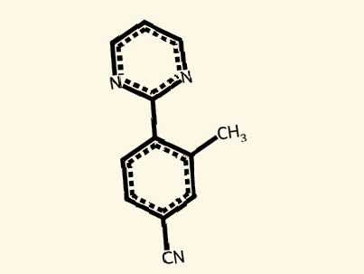 Cc1cc(C#N)ccc1-c1ncccn1